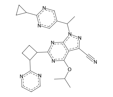 CC(C)Oc1nc(C2CCC2c2ncccn2)nc2c1c(C#N)nn2C(C)c1cnc(C2CC2)nc1